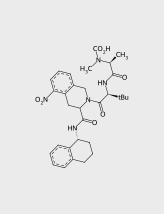 C[C@@H](C(=O)N[C@H](C(=O)N1Cc2cccc([N+](=O)[O-])c2CC1C(=O)N[C@@H]1CCCc2ccccc21)C(C)(C)C)N(C)C(=O)O